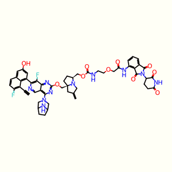 C#Cc1c(F)ccc2cc(O)cc(-c3ncc4c(N5CC6CCC(C5)N6)nc(OC[C@@]56CC[C@@H](COC(=O)NCCOCC(=O)Nc7cccc8c7C(=O)N(C7CCC(=O)NC7=O)C8=O)N5CC(=C)C6)nc4c3F)c12